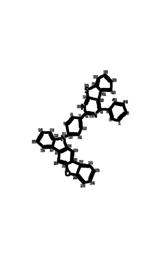 c1ccc(-c2nc(-c3ccc(-n4c5ccccc5c5cc6oc7ccccc7c6cc54)cc3)nc3sc4ccccc4c23)cc1